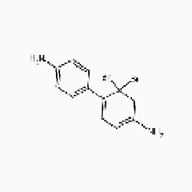 NC1=CC=C(c2ccc(N)cc2)C(Br)(Br)C1